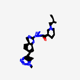 CC(C)CN1CCCC(C(=O)Nc2ncc3ccc(-c4cn(C)nn4)cc3n2)C1